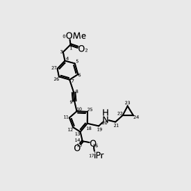 COC(=O)Cc1ccc(C#Cc2ccc(C(=O)OC(C)C)c(CNCC3CC3)c2)cc1